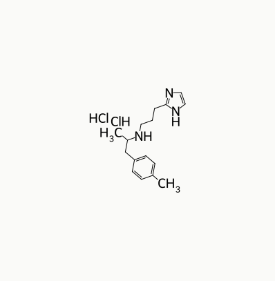 Cc1ccc(CC(C)NCCCc2ncc[nH]2)cc1.Cl.Cl